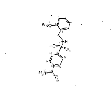 COc1ccccc1CNS(=O)(=O)c1ccc(C(N)=O)cc1